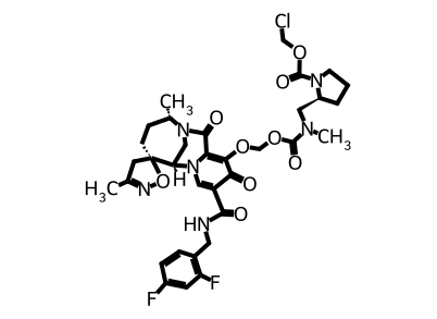 CC1=NO[C@@]2(CC[C@H](C)N3C[C@H]2n2cc(C(=O)NCc4ccc(F)cc4F)c(=O)c(OCOC(=O)N(C)C[C@@H]4CCCN4C(=O)OCCl)c2C3=O)C1